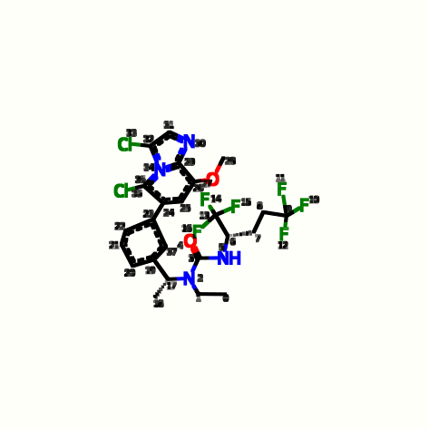 CCN(C(=O)N[C@@H](CCC(F)(F)F)C(F)(F)F)[C@H](C)c1cccc(-c2cc(OC)c3ncc(Cl)n3c2Cl)c1